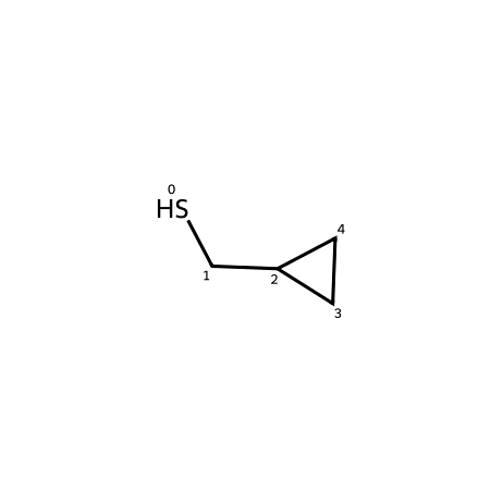 SCC1CC1